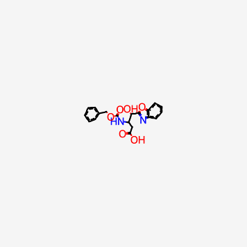 O=C(O)CC(NC(=O)OCc1ccccc1)C(O)c1nc2ccccc2o1